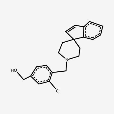 OCc1ccc(CN2CCC3(C=Cc4ccccc43)CC2)c(Cl)c1